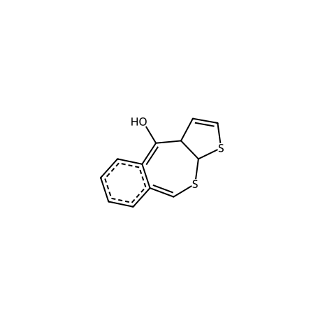 OC1=c2ccccc2=CSC2SC=CC12